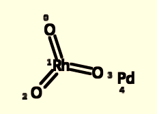 [O]=[Rh](=[O])=[O].[Pd]